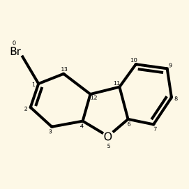 BrC1=CCC2OC3C=CC=CC3C2C1